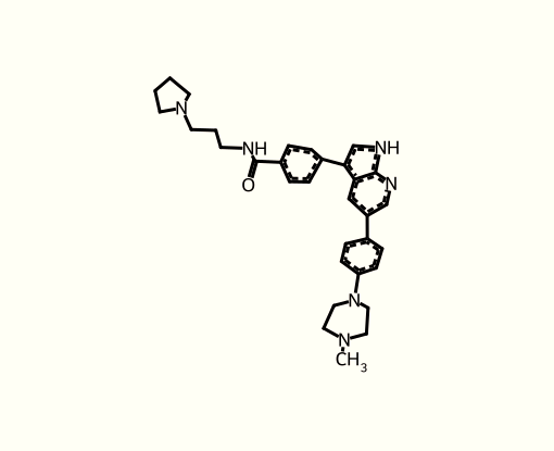 CN1CCN(c2ccc(-c3cnc4[nH]cc(-c5ccc(C(=O)NCCCN6CCCC6)cc5)c4c3)cc2)CC1